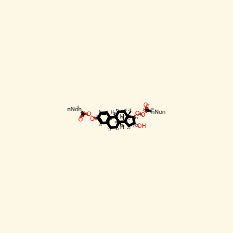 CCCCCCCCCC(=O)OOc1ccc2c(c1)CC[C@@H]1[C@@H]2CC[C@@]2(C)[C@H]1C[C@@H](O)[C@@H]2OOC(=O)CCCCCCCCC